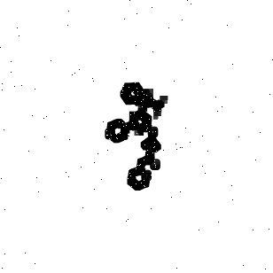 O=C(CC1CCCCO1)N1CC(Oc2cc(-n3c(C(F)F)nc4ccccc43)nc(N3CCOCC3)n2)C1